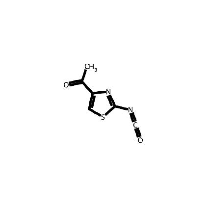 CC(=O)c1csc(N=C=O)n1